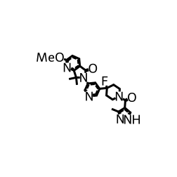 COc1ccc2c(n1)C(C)(C)N(c1cncc(C3(F)CCN(C(=O)c4c[nH]nc4C)CC3)c1)C2=O